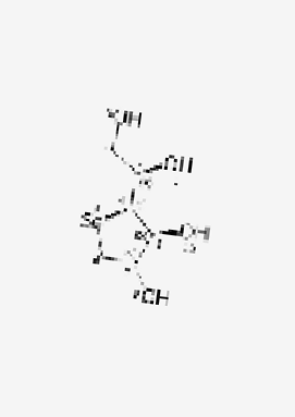 OC[C@@H](O)[C@@H]1[Se]C[C@@H](O)[C@@H]1O